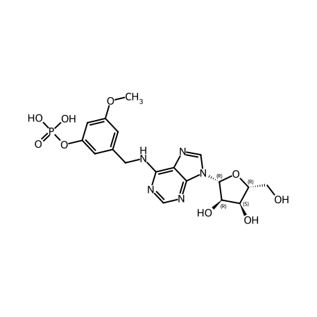 COc1cc(CNc2ncnc3c2ncn3[C@@H]2O[C@H](CO)[C@@H](O)[C@H]2O)cc(OP(=O)(O)O)c1